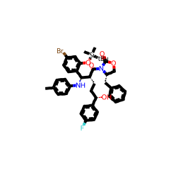 Cc1ccc(N[C@H](c2ccc(Br)cc2O[Si](C)(C)C(C)(C)C)[C@@H](CC[C@H](O)c2ccc(F)cc2)C(=O)N2C(=O)OC[C@@H]2Cc2ccccc2)cc1